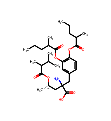 CCCC(C)C(=O)Oc1ccc(CC(N)(C[C@H](C)OC(=O)C(C)C(C)C)C(=O)O)cc1OC(=O)C(C)CCC